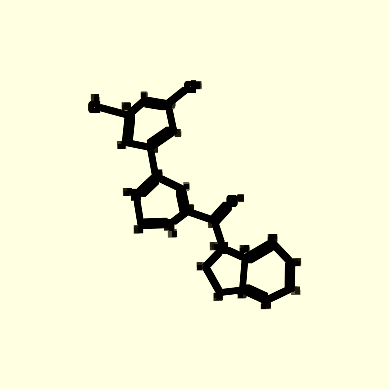 O=C(c1cc(-c2cc(Cl)cc(Cl)c2)ncn1)N1CCc2ccccc21